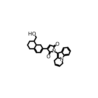 O=C1C=C(C2=CC=C3CCCC(CO)C3C2)C(=O)N1c1c2n(c3ccccc13)CC=CC2